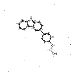 OBOc1ccc(-c2ccc3oc4ccccc4c3c2)cc1